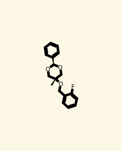 C[C@]1(OCc2ccccc2F)CO[C@H](c2ccccc2)OC1